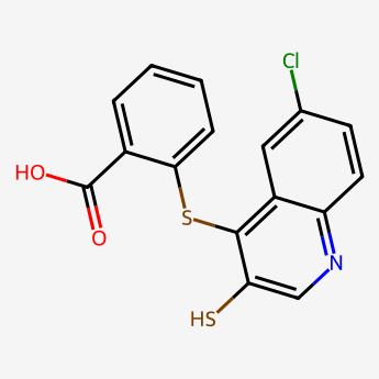 O=C(O)c1ccccc1Sc1c(S)cnc2ccc(Cl)cc12